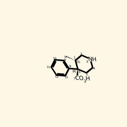 C[C@@H]1CNCC[C@]1(C(=O)O)c1ccccc1